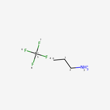 CCC[NH3+].F[B-](F)(F)F